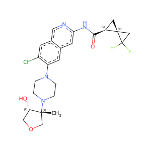 C[C@@]1(N2CCN(c3cc4cc(NC(=O)[C@H]5C[C@]56CC6(F)F)ncc4cc3Cl)CC2)COC[C@@H]1O